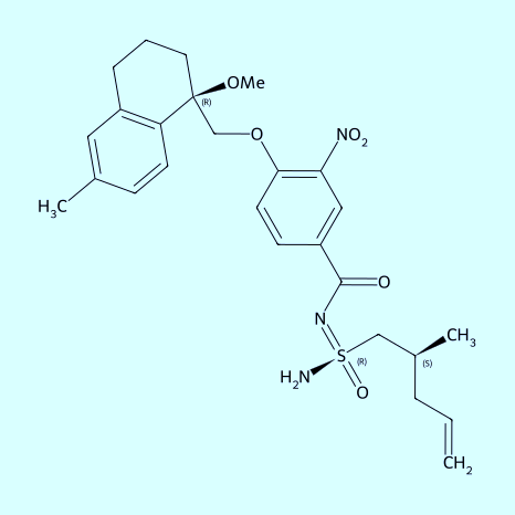 C=CC[C@H](C)C[S@](N)(=O)=NC(=O)c1ccc(OC[C@@]2(OC)CCCc3cc(C)ccc32)c([N+](=O)[O-])c1